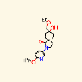 CCOC[C@]1(O)CC[C@@]2(CCN(c3ccc(OC(C)C)nc3)C2=O)CC1